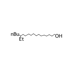 CCCCC(CC)CCCCCCCCCCCCCO